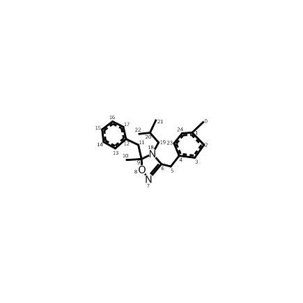 Cc1ccc(CC2=NOC(C)(Cc3ccccc3)N2CC(C)C)cc1